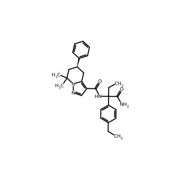 CCc1ccc(C(CC)(NC(=O)c2cnn3c2C[C@H](c2ccccc2)CC3(C)C)C(N)=O)cc1